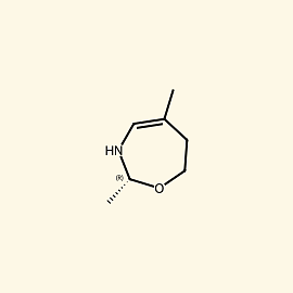 CC1=CN[C@@H](C)OCC1